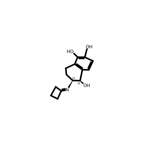 Oc1ccc2c(c1O)CC[C@H](N=C1CCC1)[C@@H]2O